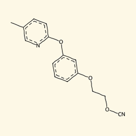 Cc1ccc(Oc2cccc(OCCOC#N)c2)nc1